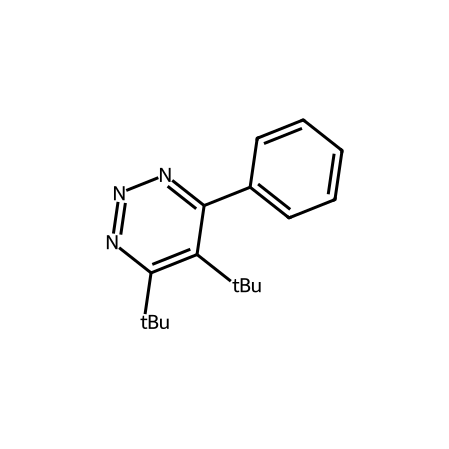 CC(C)(C)c1nnnc(-c2ccccc2)c1C(C)(C)C